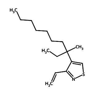 C=Cc1nscc1C(C)(CC)CCCCCCC